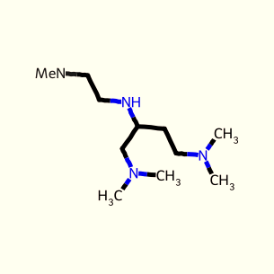 CNCCNC(CCN(C)C)CN(C)C